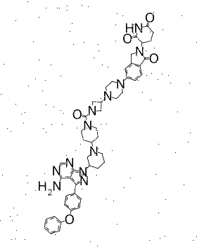 Nc1ncnc2c1c(-c1ccc(Oc3ccccc3)cc1)nn2[C@@H]1CCCN(C2CCN(C(=O)N3CC(N4CCN(c5ccc6c(c5)CN(C5CCC(=O)NC5=O)C6=O)CC4)C3)CC2)C1